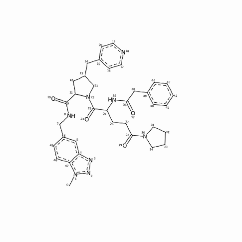 Cn1nnc2cc(CNC(=O)C3CC(Cc4ccncc4)CN3C(=O)C(CCC(=O)N3CCCC3)NC(=O)Cc3ccccc3)ccc21